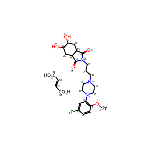 CC(C)Oc1ccc(F)cc1N1CCN(CCCN2C(=O)C3CC(O)C(O)CC3C2=O)CC1.O=C(O)C=CC(=O)O